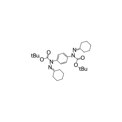 CC(C)(C)OC(=O)N(N=C1CCCCC1)c1ccc(N(N=C2CCCCC2)C(=O)OC(C)(C)C)cc1